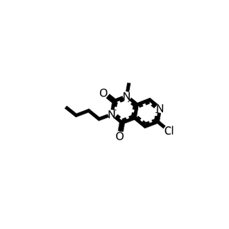 CCCCn1c(=O)c2cc(Cl)ncc2n(C)c1=O